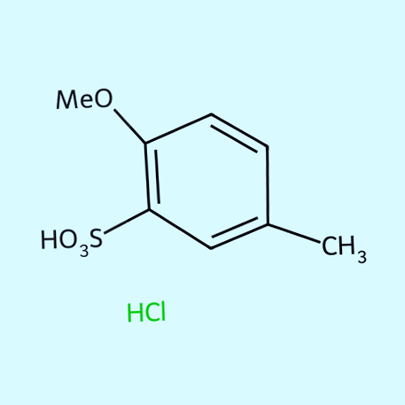 COc1ccc(C)cc1S(=O)(=O)O.Cl